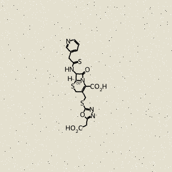 O=C(O)Cc1nnc(SCC2=C(C(=O)O)N3C(=O)C(NC(=S)Cc4cccnc4)[C@@H]3SC2)o1